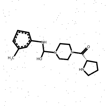 Cc1cccc(NC(O)N2CCN(C(=O)[C@@H]3CCCN3)CC2)c1